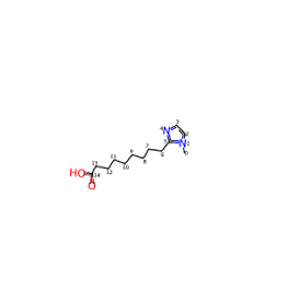 Cn1ccnc1CCCCCCCCC(=O)O